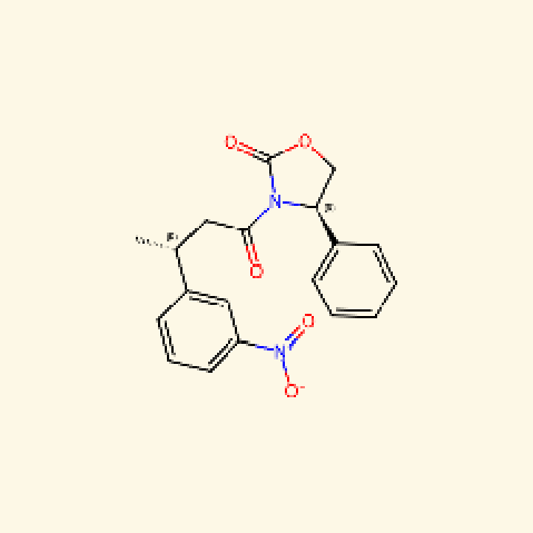 C[C@H](CC(=O)N1C(=O)OC[C@H]1c1ccccc1)c1cccc([N+](=O)[O-])c1